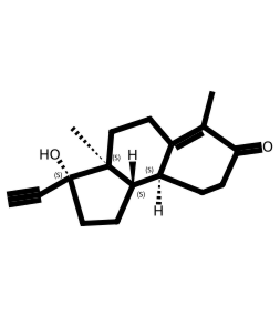 C#C[C@]1(O)CC[C@H]2[C@@H]3CCC(=O)C(C)=C3CC[C@@]21C